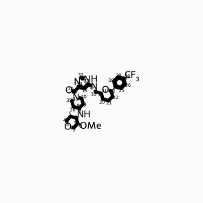 CO[C@H]1COCC[C@H]1NC1CCN(C(=O)c2cc(NCC3CCC[C@@H](c4ccc(C(F)(F)F)cc4)O3)ncn2)CC1